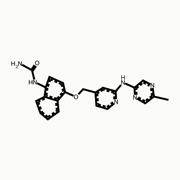 Cc1cnc(Nc2cc(COc3ccc(NC(N)=O)c4ccccc34)ccn2)cn1